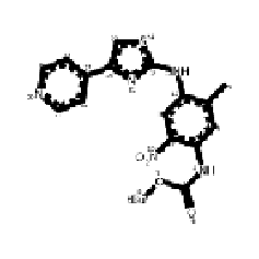 Cc1cc(NC(=O)OC(C)(C)C)c([N+](=O)[O-])cc1Nc1nc(-c2ccncc2)cs1